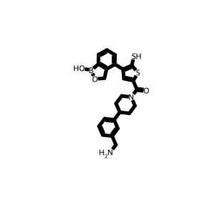 NCc1cccc(C2CCN(C(=O)c3cc(-c4cccc5c4COB5O)c(S)s3)CC2)c1